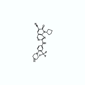 N#Cc1cc2cnc(Nc3ccc(N4CCNCC4)c(C(F)(F)F)c3)nc2n(C2CCCC2)c1=O